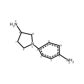 Nc1ccc(N2CCC(N)C2)cc1